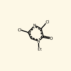 CCn1cc(Cl)nc(Cl)c1=O